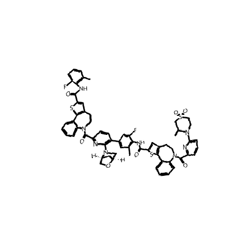 Cc1cc(-c2ccc(C(=O)N3CCc4cc(C(=O)Nc5c(C)cccc5F)sc4-c4ccccc43)nc2N2C[C@@H]3C[C@H]2CO3)cc(F)c1NC(=O)c1cc2c(s1)-c1ccccc1N(C(=O)c1cccc(N3CCS(=O)(=O)CC3C)n1)CC2